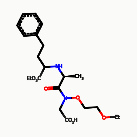 CCOCCON(CC(=O)O)C(=O)[C@H](C)NC(CCc1ccccc1)C(=O)OCC